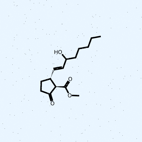 CCCCCC(O)C=C[C@H]1CCC(=O)[C@@H]1C(=O)OC